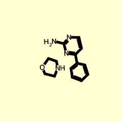 C1COCCN1.Nc1nccc(-c2ccccc2)n1